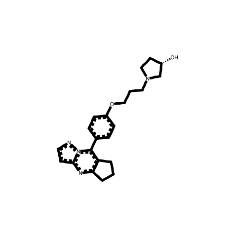 O[C@H]1CCN(CCCOc2ccc(-c3c4c(nc5ccnn35)CCC4)cc2)C1